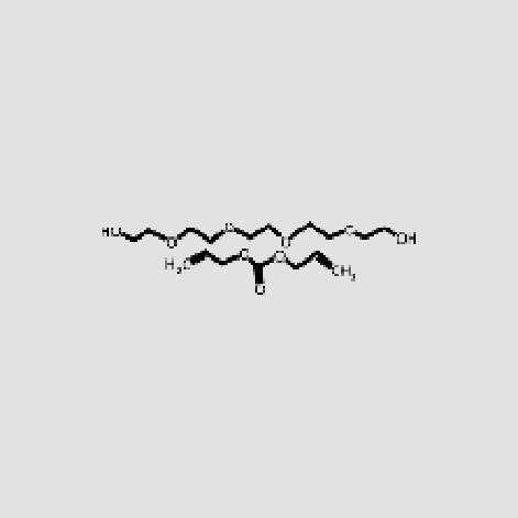 C=CCOC(=O)OCC=C.OCCOCCOCCOCCOCCO